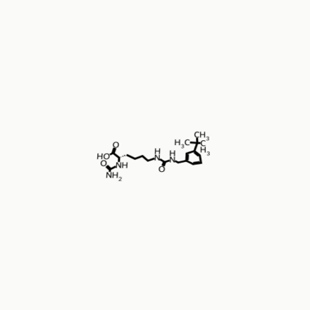 CC(C)(C)c1cccc(CNC(=O)NCCCC[C@H](NC(N)=O)C(=O)O)c1